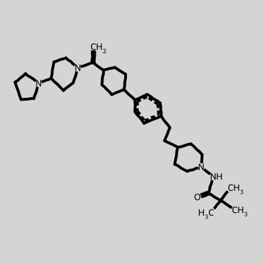 C=C(C1CCC(c2ccc(CCC3CCN(NC(=O)C(C)(C)C)CC3)cc2)CC1)N1CCC(N2CCCC2)CC1